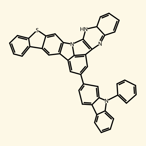 C1=CC2=Nc3c(n4c5cc6sc7ccccc7c6cc5c5cc(-c6ccc7c8ccccc8n(-c8ccccc8)c7c6)cc3c54)NC2C=C1